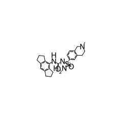 CN1CCc2cc([S@@](N)(=O)=NC(=O)Nc3c4c(cc5c3CCC5)CCC4)ccc2C1